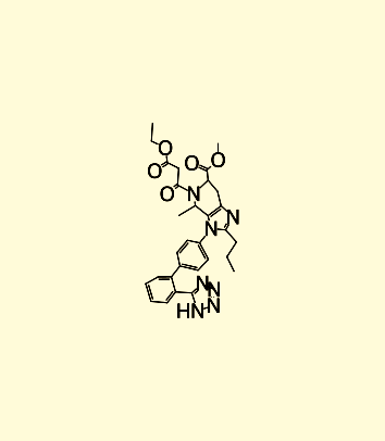 CCCc1nc2c(n1-c1ccc(-c3ccccc3-c3nnn[nH]3)cc1)C(C)N(C(=O)CC(=O)OCC)C(C(=O)OC)C2